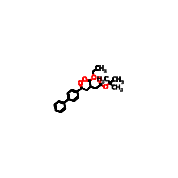 CCOC(=O)C(CC(=O)OC(C)(C)C)CC(=O)c1ccc(-c2ccccc2)cc1